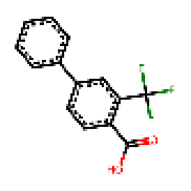 O=C(O)c1ccc(-c2ccccc2)cc1C(F)(F)F